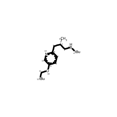 C[C@H](CBC(C)(C)C)Cc1ccc(OCC(C)(C)C)cn1